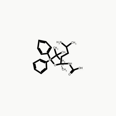 CC(N)CC[C@@](C)(NC(=O)O)O[Si](c1ccccc1)(c1ccccc1)C(C)(C)C